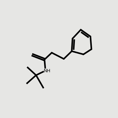 C=C(CCC1=CC=CCC1)NC(C)(C)C